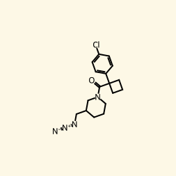 [N-]=[N+]=NCC1CCCN(C(=O)C2(c3ccc(Cl)cc3)CCC2)C1